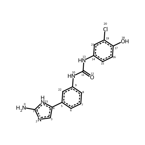 Nc1ncc(-c2cccc(NC(=O)Nc3ccc(O)c(Cl)c3)c2)[nH]1